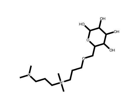 CN(C)CCC[N+](C)(C)CCCOCC1OC(O)C(O)C(O)C1O